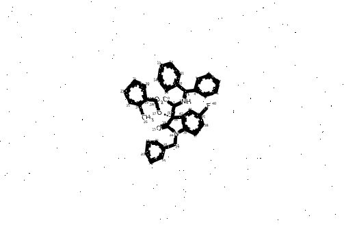 CCOC(=O)C(NC(c1ccccc1)c1ccccc1)[C@]1(OCc2ccccc2C)C(=O)N(Cc2ccccc2)c2ccc(F)cc21